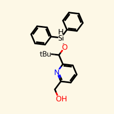 CC(C)(C)C(O[SiH](c1ccccc1)c1ccccc1)c1cccc(CO)n1